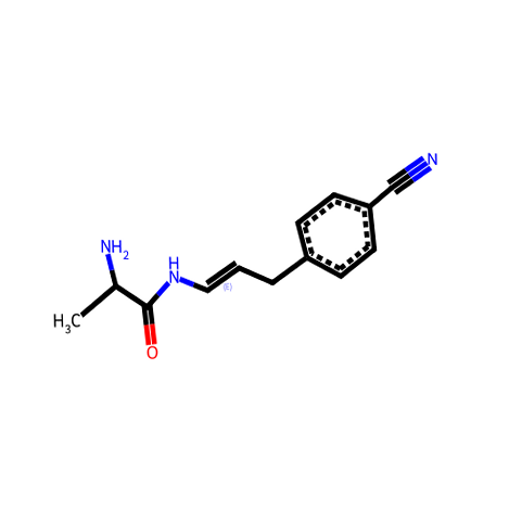 CC(N)C(=O)N/C=C/Cc1ccc(C#N)cc1